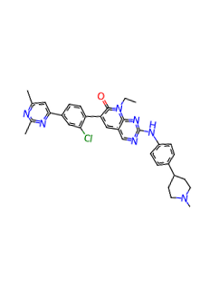 CCn1c(=O)c(-c2ccc(-c3cc(C)nc(C)n3)cc2Cl)cc2cnc(Nc3ccc(C4CCN(C)CC4)cc3)nc21